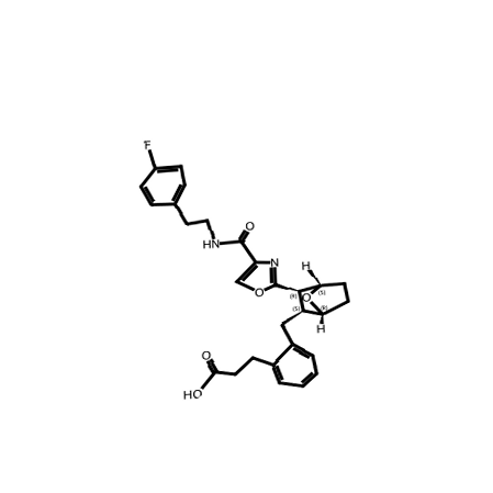 O=C(O)CCc1ccccc1C[C@H]1[C@@H](c2nc(C(=O)NCCc3ccc(F)cc3)co2)[C@@H]2CC[C@H]1O2